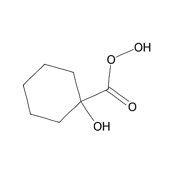 O=C(OO)C1(O)CCCCC1